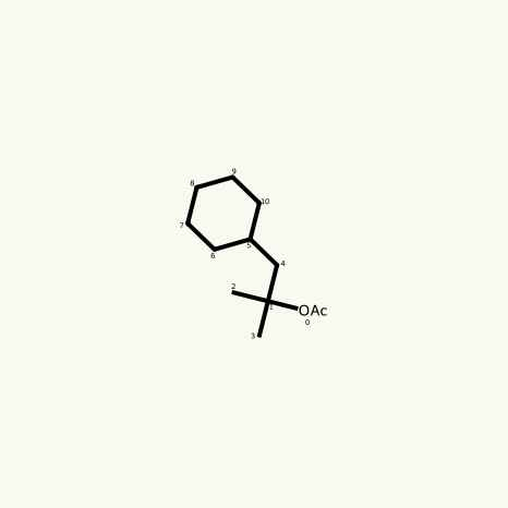 CC(=O)OC(C)(C)CC1CCCCC1